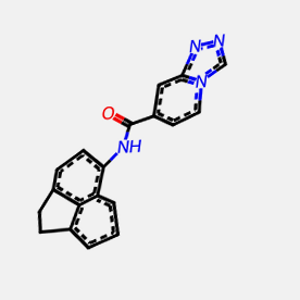 O=C(Nc1ccc2c3c(cccc13)CC2)c1ccn2cnnc2c1